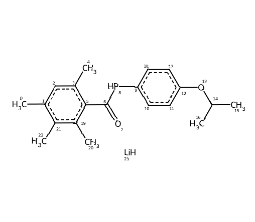 Cc1cc(C)c(C(=O)Pc2ccc(OC(C)C)cc2)c(C)c1C.[LiH]